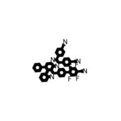 N#Cc1ccc(-c2nc3cc(-c4ccccc4)c4c5ccccc5nc(-c5ccc(-c6c(F)c(F)c(C#N)c(F)c6F)cc5)c4c3nc2-c2ccc(C#N)cc2)cc1